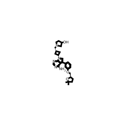 CC1(C)CC[C@H](COc2cccc(-c3cn([C@H]4C[C@@H](CN5CCC(O)C5)C4)c4ncnc(N)c34)c2)O1